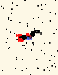 CCc1ccc(OC(=O)Nc2ccc(C(=O)O)c(O)c2)cc1